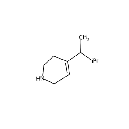 CC(C)C(C)C1=CCNCC1